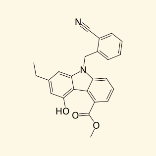 CCc1cc(O)c2c3c(C(=O)OC)cccc3n(Cc3ccccc3C#N)c2c1